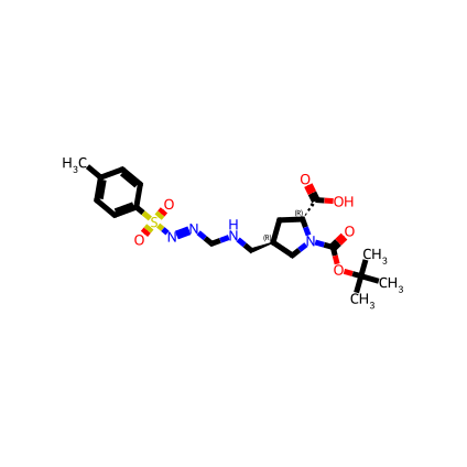 Cc1ccc(S(=O)(=O)N=NCNC[C@H]2C[C@H](C(=O)O)N(C(=O)OC(C)(C)C)C2)cc1